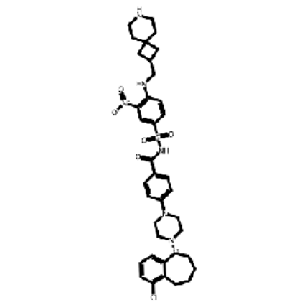 O=C(NS(=O)(=O)c1ccc(NCC2CC3(CCNCC3)C2)c([N+](=O)[O-])c1)c1ccc(N2CCN([C@@H]3CCCCc4c(Cl)cccc43)CC2)cc1